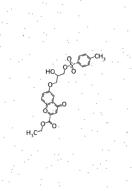 CCOC(=O)c1cc(=O)c2cc(OCC(O)COS(=O)(=O)c3ccc(C)cc3)ccc2o1